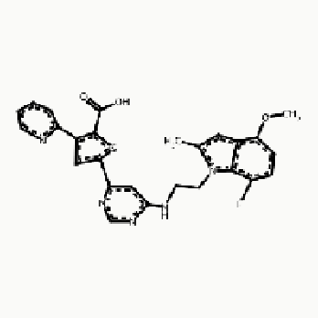 COc1ccc(F)c2c1cc(C)n2CCNc1cc(-c2cc(-c3ccccn3)c(C(=O)O)s2)ncn1